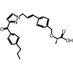 CCCc1ccc(C(=O)c2ccn(C/C=C/c3ccc(CO[C@H](C)C(=O)O)cc3)n2)cc1